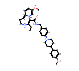 CC/C1=C(\C(=O)NCc2ccc(N3CCC(c4ccc(OC)cc4)CC3)cc2)N2C=C(OC)C=C/C2=C\CCN1